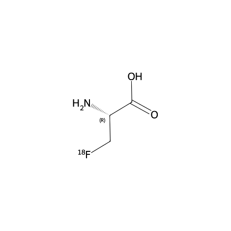 N[C@@H](C[18F])C(=O)O